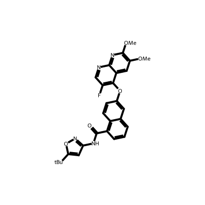 COc1cc2c(Oc3ccc4c(C(=O)Nc5cc(C(C)(C)C)on5)cccc4c3)c(F)cnc2nc1OC